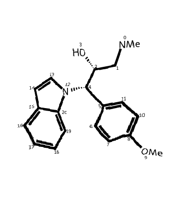 CNC[C@@H](O)[C@H](c1ccc(OC)cc1)n1ccc2ccccc21